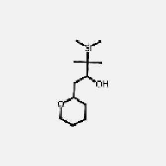 C[Si](C)C(C)(C)C(O)CC1CCCCO1